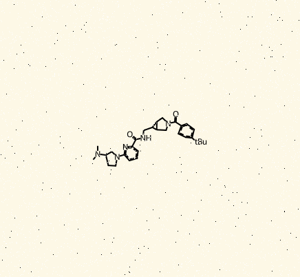 CN(C)C1CCN(c2cc[c]c(C(=O)NCC3C4CN(C(=O)c5ccc(C(C)(C)C)cc5)CC34)n2)C1